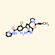 CC#CC(=O)N1CCCC1c1cc(-c2ccc(C(=O)Nc3ccccn3)cc2Cl)n2c(N)nccc12